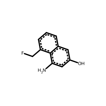 Nc1cc(O)cc2cccc(CF)c12